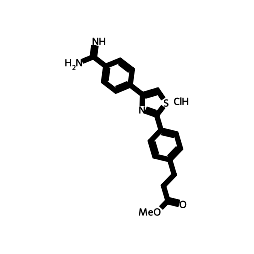 COC(=O)CCc1ccc(-c2nc(-c3ccc(C(=N)N)cc3)cs2)cc1.Cl